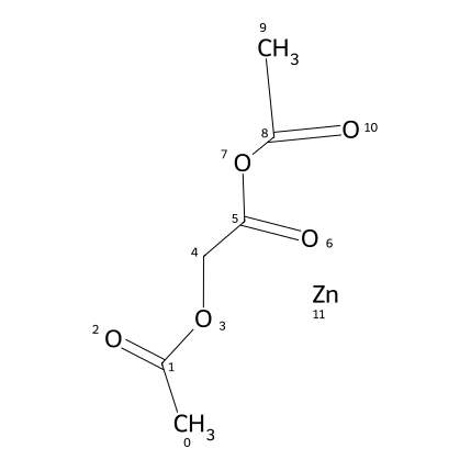 CC(=O)OCC(=O)OC(C)=O.[Zn]